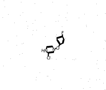 Fc1ccc(ON2C=CNC(Cl)=C2)cc1